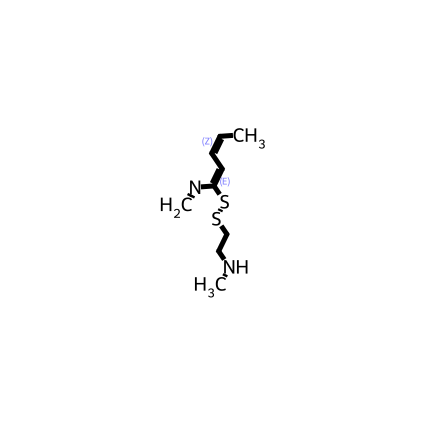 C=N/C(=C\C=C/C)SSCCNC